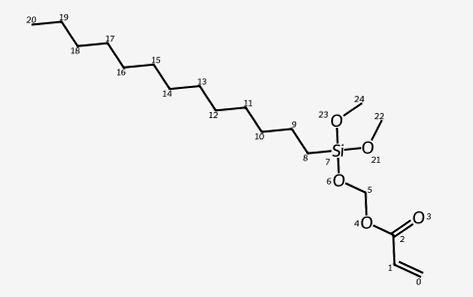 C=CC(=O)OCO[Si](CCCCCCCCCCCCC)(OC)OC